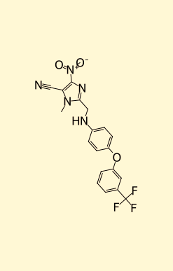 Cn1c(CNc2ccc(Oc3cccc(C(F)(F)F)c3)cc2)nc([N+](=O)[O-])c1C#N